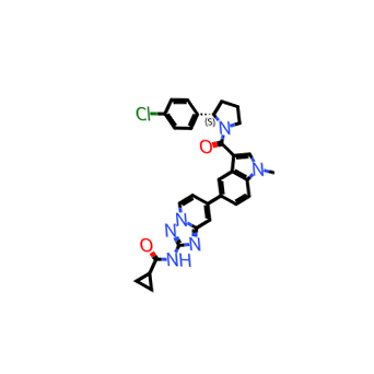 Cn1cc(C(=O)N2CCC[C@H]2c2ccc(Cl)cc2)c2cc(-c3ccn4nc(NC(=O)C5CC5)nc4c3)ccc21